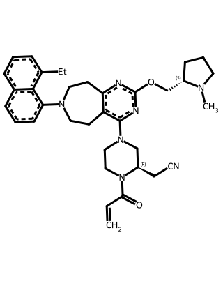 C=CC(=O)N1CCN(c2nc(OC[C@@H]3CCCN3C)nc3c2CCN(c2cccc4cccc(CC)c24)CC3)C[C@H]1CC#N